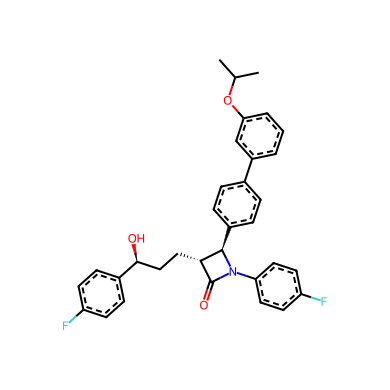 CC(C)Oc1cccc(-c2ccc([C@@H]3[C@@H](CC[C@H](O)c4ccc(F)cc4)C(=O)N3c3ccc(F)cc3)cc2)c1